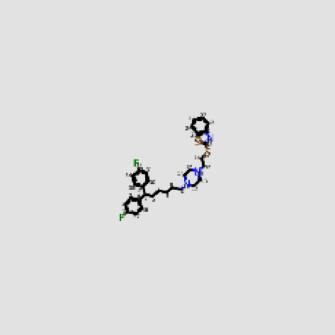 Fc1ccc(C(CCCCCN2CCN(CCSc3nc4ccccc4s3)CC2)c2ccc(F)cc2)cc1